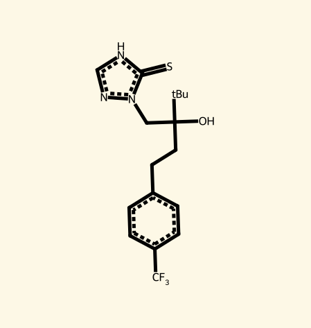 CC(C)(C)C(O)(CCc1ccc(C(F)(F)F)cc1)Cn1nc[nH]c1=S